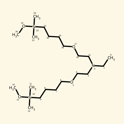 CCN(CCOCCCC[Si](C)(C)OC)CCOCCCC[Si](C)(C)OC